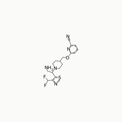 N#Cc1cccc(OCC2CCN(C(CN)c3scnc3C(F)F)CC2)n1